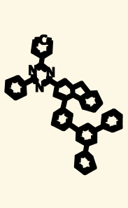 C1=C(c2nc(-c3ccccc3)nc(-c3ccccc3)n2)C=C(c2cccc(-c3cc(-c4ccccc4)cc(-c4ccccc4)c3)c2)C2c3ccccc3CC12